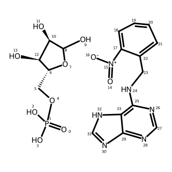 O=P(O)(O)OC[C@H]1OC(O)[C@H](O)[C@@H]1O.O=[N+]([O-])c1ccccc1CNc1ncnc2nc[nH]c12